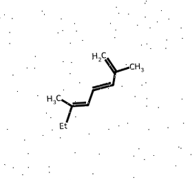 C=C(C)/C=C/C=C(\C)CC